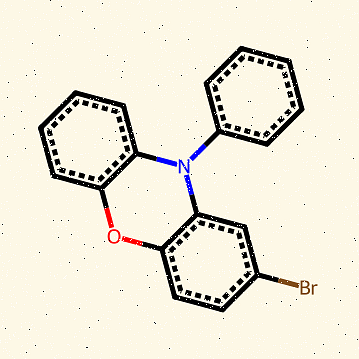 Brc1ccc2c(c1)N(c1ccccc1)c1ccccc1O2